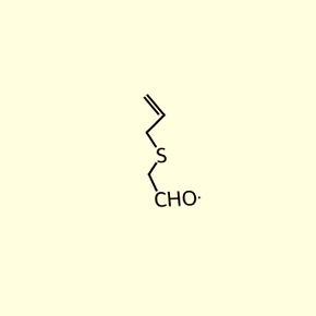 C=CCSC[C]=O